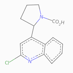 O=C(O)N1CCCC1c1cc(Cl)nc2ccccc12